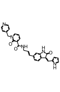 O=C1Nc2cc(C=CCNC(=O)c3cccn(Cc4ccncc4)c3=O)ccc2C1=Cc1ccc[nH]1